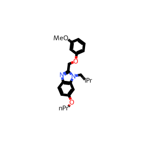 CCCOc1ccc2nc(COc3cccc(OC)c3)n(CC(C)C)c2c1